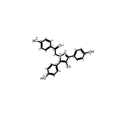 CCc1c(-c2ccc(O)cc2)nn(CC(=O)c2ccc(C#N)cc2)c1-c1ccc(O)cc1